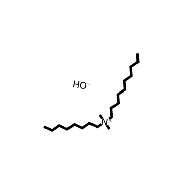 CCCCCCCCCC[N+](C)(C)CCCCCCCC.[OH-]